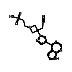 N#CCC1(n2cc(-c3ncnc4[nH]ccc34)cn2)CN(CCS(=O)(=O)O)C1